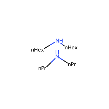 CCCCCCNCCCCCC.CCCNCCC